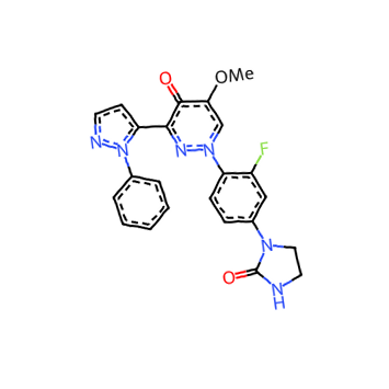 COc1cn(-c2ccc(N3CCNC3=O)cc2F)nc(-c2ccnn2-c2ccccc2)c1=O